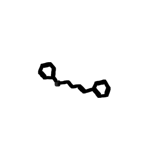 C(=Cc1ccccc1)CCOc1ccccc1